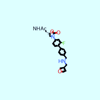 CC(=O)NC[C@H]1CN(c2ccc(-c3ccc(CNCc4ccoc4)cc3)c(F)c2)C(=O)O1